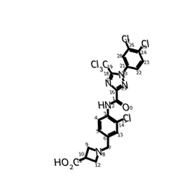 O=C(Nc1ccc(CN2CC(C(=O)O)C2)cc1Cl)c1nc(C(Cl)(Cl)Cl)n(-c2ccc(Cl)c(Cl)c2)n1